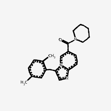 Cc1ccc(C)c(-c2cnc3ccc(C(=O)N4CCCCC4)cn23)c1